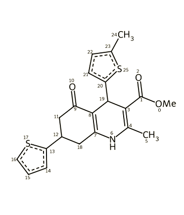 COC(=O)C1=C(C)NC2=C(C(=O)CC(c3cccs3)C2)C1c1ccc(C)s1